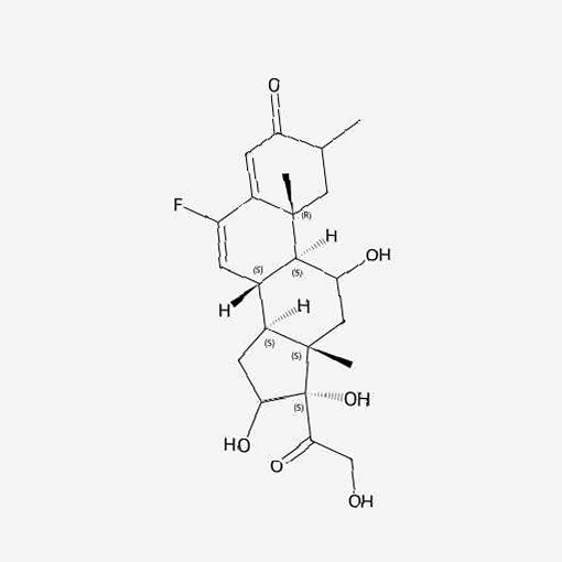 CC1C[C@@]2(C)C(=CC1=O)C(F)=C[C@@H]1[C@@H]2C(O)C[C@@]2(C)[C@H]1CC(O)[C@]2(O)C(=O)CO